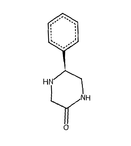 O=C1CN[C@@H](c2ccccc2)CN1